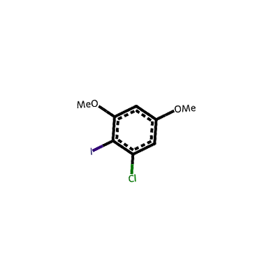 COc1cc(Cl)c(I)c(OC)c1